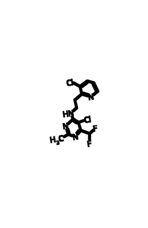 Cc1nc(NCCc2ncccc2Cl)c(Cl)c(C(F)F)n1